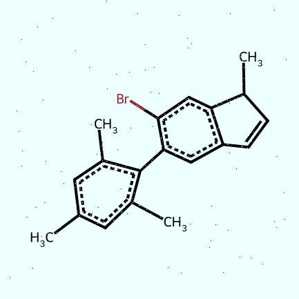 Cc1cc(C)c(-c2cc3c(cc2Br)C(C)C=C3)c(C)c1